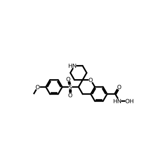 COc1ccc(S(=O)(=O)C2Cc3ccc(C(=O)NO)cc3OC23CCNCC3)cc1